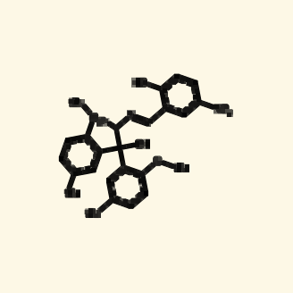 CC(C)C(N=Cc1cc([N+](=O)[O-])ccc1O)C(O)(c1cc(C(C)(C)C)ccc1OC(C)(C)C)c1cc(C(C)(C)C)ccc1OC(C)(C)C